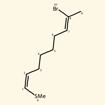 CS/C=C\CCCC/C=C(/C)Br